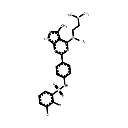 Cc1n[nH]c2nc(-c3ccc(NS(=O)(=O)c4cccc(Cl)c4F)cc3)nc(N(C)CCN(C)C)c12